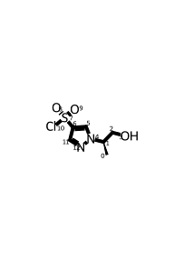 C[C@H](CO)n1cc(S(=O)(=O)Cl)cn1